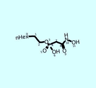 CCCCCCCCOP(=O)(O)CC(=O)NO